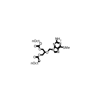 CCCCCCCCOC(=O)OCC(COC(=O)OCCCCCCCC)OCn1cnc2c(SC)nc(N)nc21